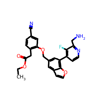 CCOC(=O)Cc1ccc(C#N)cc1OCc1cc(-c2ccnc(CN)c2F)c2occc2c1